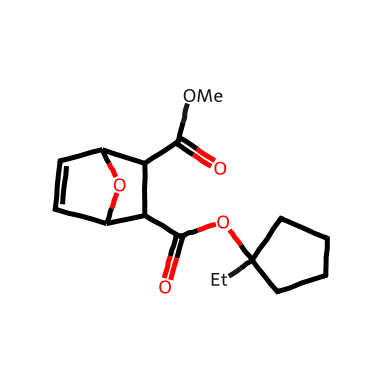 CCC1(OC(=O)C2C3C=CC(O3)C2C(=O)OC)CCCC1